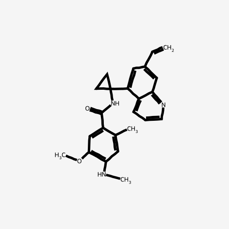 C=Cc1cc(C2(NC(=O)c3cc(OC)c(NC)cc3C)CC2)c2cccnc2c1